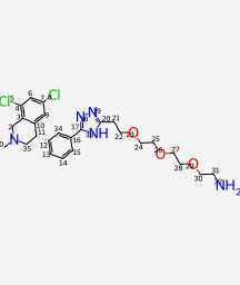 CN1Cc2c(Cl)cc(Cl)cc2[C@H](c2cccc(-c3nnc(CCOCCOCCOCCN)[nH]3)c2)C1